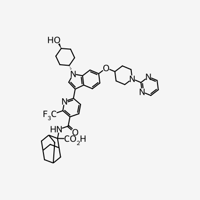 O=C(NC1(C(=O)O)C2CC3CC(C2)CC1C3)c1ccc(-c2cn([C@H]3CC[C@H](O)CC3)c3cc(OC4CCN(c5ncccn5)CC4)ccc23)nc1C(F)(F)F